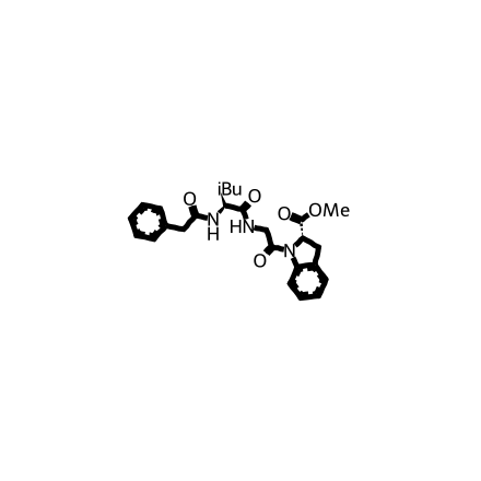 CC[C@H](C)[C@H](NC(=O)Cc1ccccc1)C(=O)NCC(=O)N1c2ccccc2C[C@H]1C(=O)OC